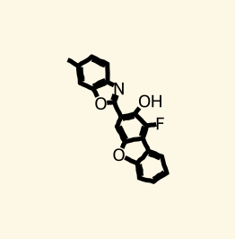 Cc1ccc2nc(-c3cc4oc5ccccc5c4c(F)c3O)oc2c1